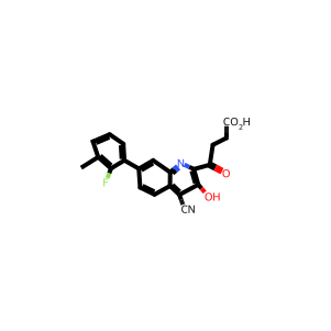 Cc1cccc(-c2ccc3c(C#N)c(O)c(C(=O)CCC(=O)O)nc3c2)c1F